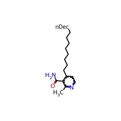 CCCCCCCCCCCCCCCCCCc1ccnc(C)c1C(N)=O